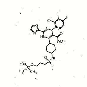 COC(=O)C1=C(C2CCC(NS(=O)(=O)CCCO[Si](C)(C)C(C)(C)C)CC2)NC(c2nccs2)=NC1c1ccc(F)c(F)c1Cl